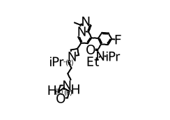 CCN(C(=O)c1cc(F)ccc1-c1cc(C2CN([C@H](CCCN3C[C@H]4C[C@@H]3CO4)C(C)C)C2)cn2c(C)ncc12)C(C)C